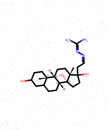 C[C@]12CCC(O)CC1CC[C@@H]1[C@H]2CC[C@]2(C)C(O)(C/C=N\N=C(N)N)CC[C@@]12O